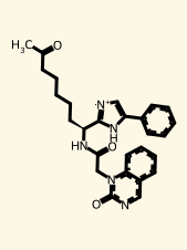 CC(=O)CCCCC[C@H](NC(=O)Cn1c(=O)ncc2ccccc21)C1=[N+]C=C(c2ccccc2)N1